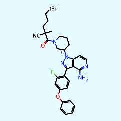 CC(C)(C)CCCC(C)(C#N)C(=O)N1CCC[C@@H](n2nc(-c3ccc(Oc4ccccc4)cc3F)c3c(N)nccc32)C1